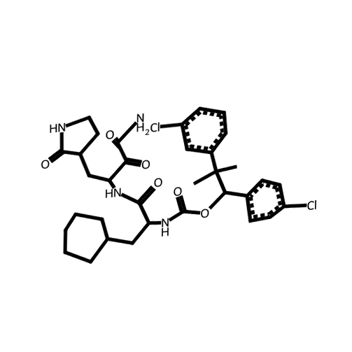 CC(C)(c1cccc(Cl)c1)C(OC(=O)NC(CC1CCCCC1)C(=O)NC(CC1CCNC1=O)C(=O)C(N)=O)c1ccc(Cl)cc1